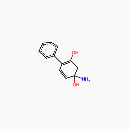 NC1(O)C=CC(c2ccccc2)=C(O)C1